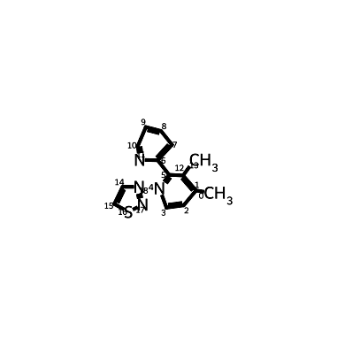 Cc1ccnc(-c2ccccn2)c1C.c1csnn1